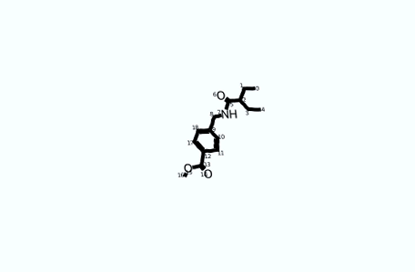 CCC(CC)C(=O)NCc1ccc(C(=O)OC)cc1